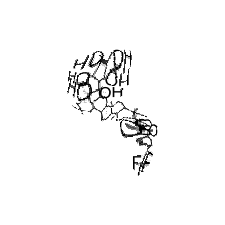 CC1(C)CC[C@]2([C@H](O)[C@@H](O)C3C(O)C(O)=C(CO)C3O)CC[C@]3(C)C(=CCC4[C@@]5(C)CC[C@H](OS(=O)(=O)c6ccc(C(F)(F)F)cc6)C(C)(C)C5CC[C@]43C)C2C1